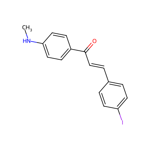 CNc1ccc(C(=O)/C=C/c2ccc(I)cc2)cc1